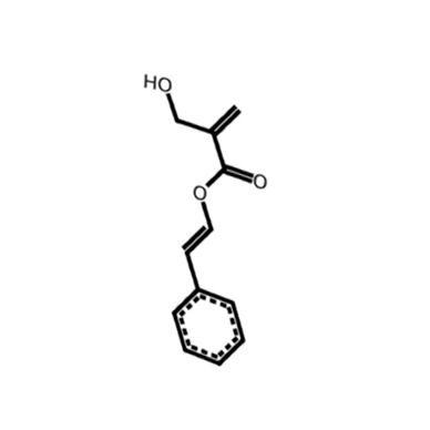 C=C(CO)C(=O)OC=Cc1ccccc1